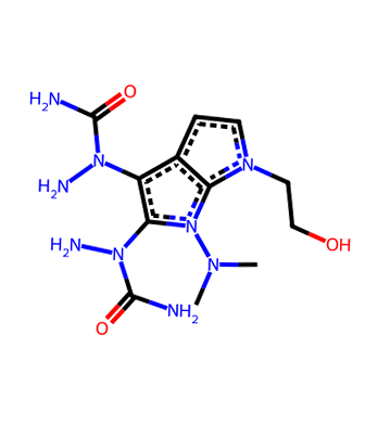 CN(C)n1c(N(N)C(N)=O)c(N(N)C(N)=O)c2ccn(CCO)c21